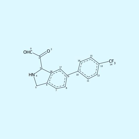 O=CC(=O)C1NCc2ccc(-c3ccc(C(F)(F)F)cc3)cc21